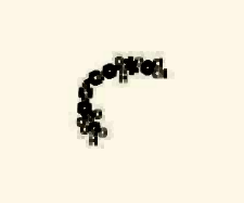 CC1(C)C(NC(=O)c2ccc(N3CCC(CN4CCN(c5ccc6c(c5)C(=O)N(C5CC(=O)NC5=O)C6=O)CC4)CC3)cc2)C(C)(C)C1Oc1ccc(C#N)c(Cl)c1